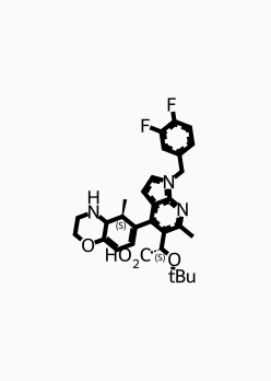 Cc1nc2c(ccn2Cc2ccc(F)c(F)c2)c(C2=CC=C3OCCNC3[C@H]2C)c1[C@H](OC(C)(C)C)C(=O)O